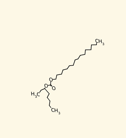 CCCCCCCCCCCCCCCCOC(=O)OC(CC)CCCCC